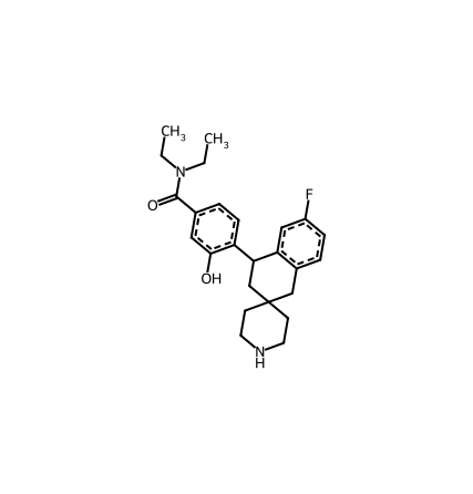 CCN(CC)C(=O)c1ccc(C2CC3(CCNCC3)Cc3ccc(F)cc32)c(O)c1